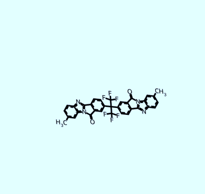 Cc1ccc2nc3n(c2c1)C(=O)c1cc(C(c2ccc4c(c2)C(=O)n2c-4nc4ccc(C)cc42)(C(F)(F)F)C(F)(F)F)ccc1-3